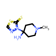 CN1CCC(N)(n2ncsc2=S)CC1